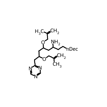 C=C(C)COC(Cc1ncncn1)CC(CC(N)CCCCCCCCCCCC)OCC(=C)C